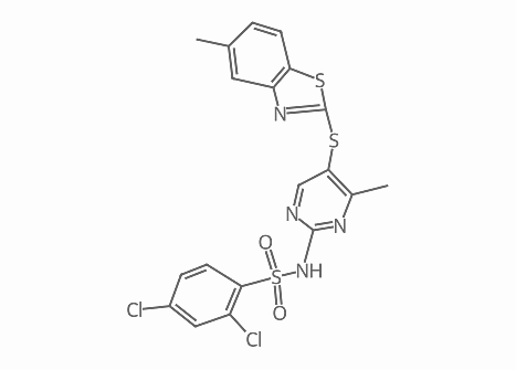 Cc1ccc2sc(Sc3cnc(NS(=O)(=O)c4ccc(Cl)cc4Cl)nc3C)nc2c1